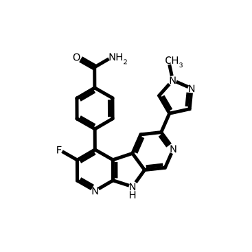 Cn1cc(-c2cc3c(cn2)[nH]c2ncc(F)c(-c4ccc(C(N)=O)cc4)c23)cn1